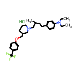 CCN(CC)c1ccc(CCC(C)CN2CCCC(COc3ccc(C(F)(F)F)cc3)C2)cc1.Cl